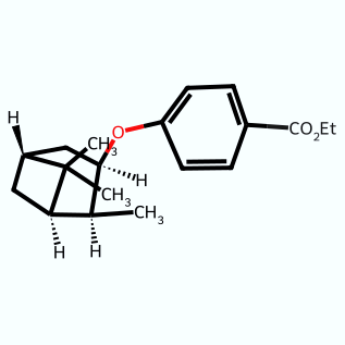 CCOC(=O)c1ccc(O[C@@H]2C[C@H]3C[C@H]([C@@H]2C)C3(C)C)cc1